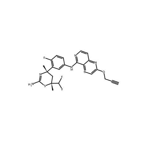 C#CCOc1cnc2c(Nc3ccc(F)c([C@]4(C)C[C@](C)(C(F)F)SC(N)=N4)c3)nccc2n1